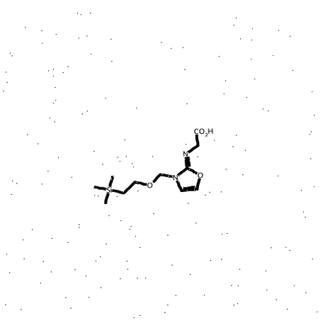 C[Si](C)(C)CCOCn1cco/c1=N\CC(=O)O